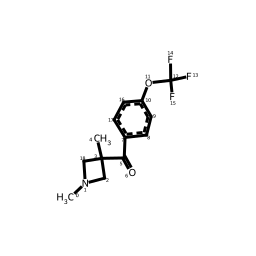 CN1CC(C)(C(=O)c2ccc(OC(F)(F)F)cc2)C1